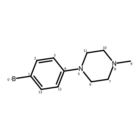 [B]c1ccc(N2CCN(C)CC2)cc1